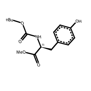 CCCCOC(=O)N[C@@H](Cc1ccc(O)cc1)C(=O)OC